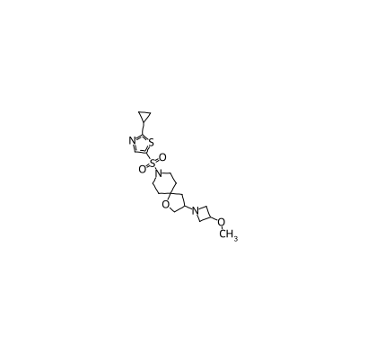 COC1CN(C2COC3(CCN(S(=O)(=O)c4cnc(C5CC5)s4)CC3)C2)C1